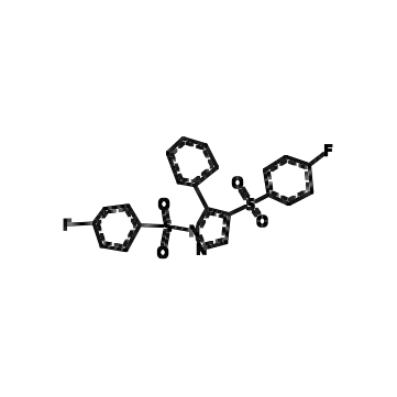 O=S(=O)(c1ccc(F)cc1)c1cnn(S(=O)(=O)c2ccc(F)cc2)c1-c1ccccc1